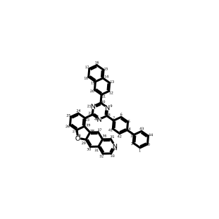 c1ccc(-c2ccc(-c3nc(-c4ccc5ccccc5c4)nc(-c4cccc5oc6cc7ccncc7cc6c45)n3)cc2)cc1